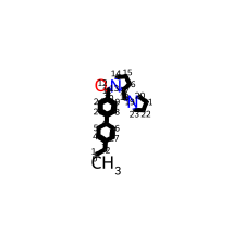 CCCC1=CCC(c2ccc(C(=O)N3CCCC3CN3CCCC3)cc2)C=C1